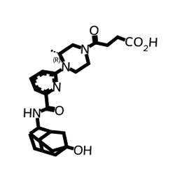 C[C@@H]1CN(C(=O)CCC(=O)O)CCN1c1cccc(C(=O)NC2C3CC4CC2CC(O)(C4)C3)n1